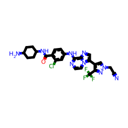 N#CCn1cc(-c2cnc3c(Nc4ccc(C(=O)NC5CCC(N)CC5)c(Cl)c4)nccn23)c(C(F)(F)F)n1